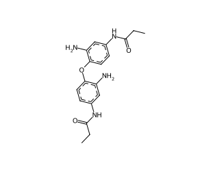 CCC(=O)Nc1ccc(Oc2ccc(NC(=O)CC)cc2N)c(N)c1